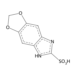 O=S(=O)(O)c1nc2cc3c(cc2[nH]1)OCO3